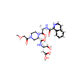 COCC(=O)N1CCN(C(=O)[C@H](C)NC(=O)c2nccc3ccccc23)[C@H](C(=O)N[C@H](C=O)CC(=O)O)C1